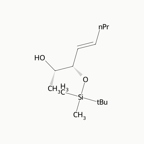 CCCC=C[C@H](O[Si](C)(C)C(C)(C)C)[C@H](C)O